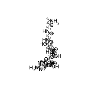 CC(N)CC(=O)CCNC(=O)CCNC(=O)C(O)C(C)(C)COP(=O)(O)OP(=O)(O)OCC1OC(n2cnc3c(N)ncnc32)C(O)C1OP(=O)(O)O